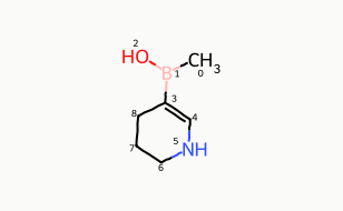 CB(O)C1=CNCCC1